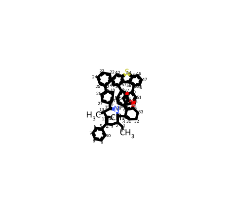 CCC1C/C(c2ccccc2)=C(\C)C(C)/C(c2ccc(-c3ccccc3)cc2)=N\C1C1=CCCc2oc3cc(-c4cccc5sc6cccc(-c7ccccc7)c6c45)ccc3c21